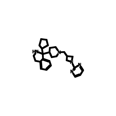 c1cnc(N2CC(CN3CCC(C4(C5CCCC5)NCCc5ccccc54)CC3)C2)nc1